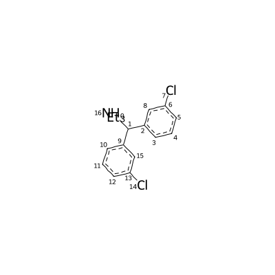 CCC(c1cccc(Cl)c1)c1cccc(Cl)c1.N